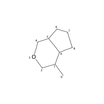 CC1COCC2CCCC12